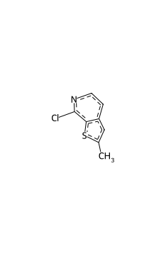 Cc1cc2ccnc(Cl)c2s1